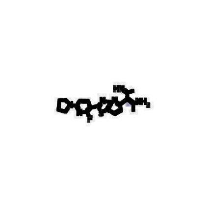 CC(=N)/C(=C(/C)N)c1ccc2sc(-c3ccc(N4CCCC4)nc3F)nc2n1